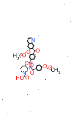 COCOc1ccc(C(=O)N[C@@H]2CN(C(=O)O)CCC[C@H]2OC(=O)c2ccc(C(=O)c3cc4ncccc4cc3OCOC)cc2)cc1